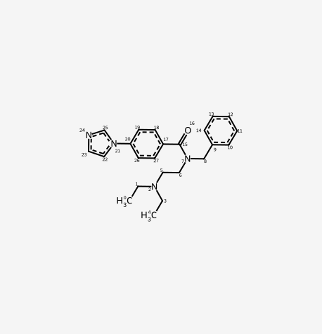 CCN(CC)CCN(Cc1ccccc1)C(=O)c1ccc(-n2ccnc2)cc1